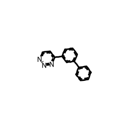 c1ccc(-c2cccc(-c3ccnnn3)c2)cc1